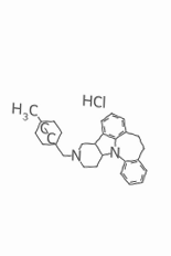 CC12CCC(CN3CCC4C(C3)c3cccc5c3N4c3ccccc3CC5)(CC1)CC2.Cl